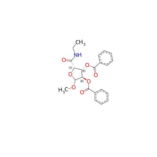 CCNC(=O)[C@H]1OC(OC)[C@H](OC(=O)c2ccccc2)[C@H]1OC(=O)c1ccccc1